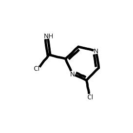 N=C(Cl)c1cncc(Cl)n1